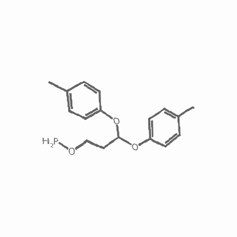 Cc1ccc(OC(CCOP)Oc2ccc(C)cc2)cc1